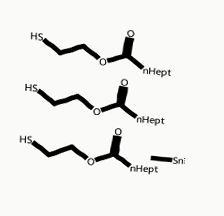 CCCCCCCC(=O)OCCS.CCCCCCCC(=O)OCCS.CCCCCCCC(=O)OCCS.[CH3][Sn]